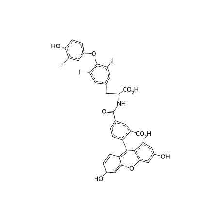 O=C(NC(Cc1cc(I)c(Oc2ccc(O)c(I)c2)c(I)c1)C(=O)O)c1ccc(C2=C3C=CC(O)C=C3Oc3cc(O)ccc32)c(C(=O)O)c1